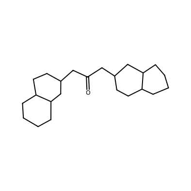 O=C(CC1CCC2CCCCC2C1)CC1CCC2CCCCC2C1